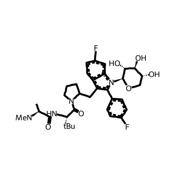 CN[C@@H](C)C(=O)N[C@H](C(=O)N1CCCC1Cc1c(-c2ccc(F)cc2)n([C@@H]2OC[C@@H](O)[C@H](O)[C@H]2O)c2cc(F)ccc12)C(C)(C)C